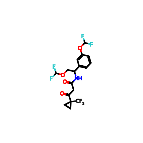 O=C(CC(=O)C1(C(F)(F)F)CC1)NC(COC(F)F)c1cccc(OC(F)F)c1